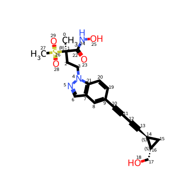 C[C@@](CCn1ncc2cc(C#CC#C[C@H]3C[C@@H]3CO)ccc21)(C(=O)NO)S(C)(=O)=O